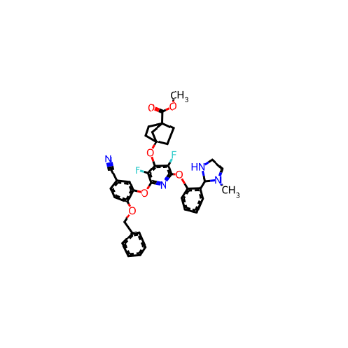 COC(=O)C12CCC(Oc3c(F)c(Oc4cc(C#N)ccc4OCc4ccccc4)nc(Oc4ccccc4C4NCCN4C)c3F)(CC1)C2